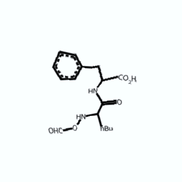 CCCCC(NOC=O)C(=O)NC(Cc1ccccc1)C(=O)O